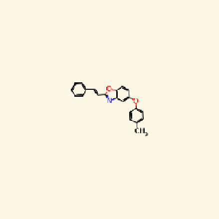 Cc1ccc(Oc2ccc3oc(C=Cc4ccccc4)nc3c2)cc1